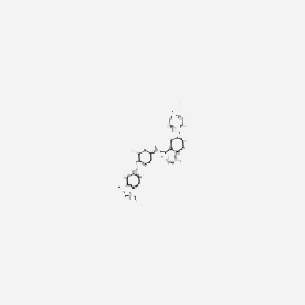 Cc1cc(Nc2ncnc3ccc(N4CCNCC4)cc23)ccc1Oc1ccc2c(c1)ncn2C